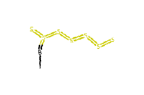 CB=S(=S)=S=S=S=S=S